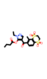 CCCC(=O)Oc1c(C(=O)c2ccc3c(c2C)S(=O)(=O)CCS3(=O)=O)cnn1CC